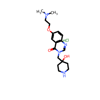 CN(C)CCOc1ccc2ncn(CC3(O)CCNCC3)c(=O)c2c1.Cl